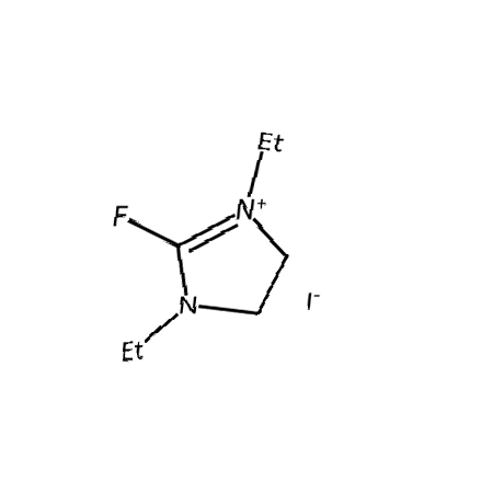 CCN1CC[N+](CC)=C1F.[I-]